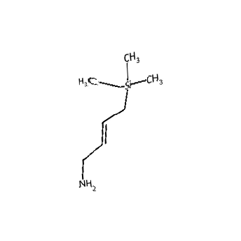 C[Si](C)(C)CC=CCN